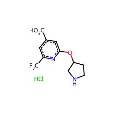 Cl.O=C(O)c1cc(OC2CCNC2)nc(C(F)(F)F)c1